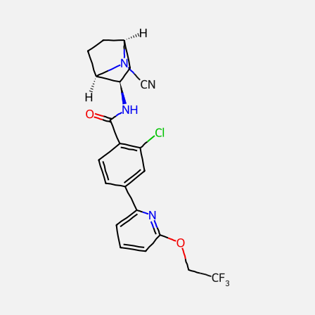 N#CN1[C@H]2CC[C@@H]1[C@H](NC(=O)c1ccc(-c3cccc(OCC(F)(F)F)n3)cc1Cl)C2